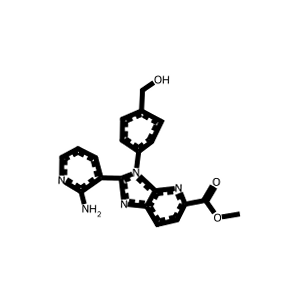 COC(=O)c1ccc2nc(-c3cccnc3N)n(-c3ccc(CO)cc3)c2n1